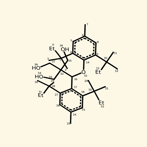 CCC(C)(C)c1cc(C)cc(C(C)(C)CC)c1OC(c1c(C(C)(C)CC)cc(C)cc1C(C)(C)CC)C(CO)(CO)CO